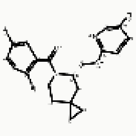 O=C(c1cc(Cl)ccc1Br)N1CCC2(CC2)C[C@H]1CNc1ccc(Cl)cn1